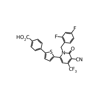 N#Cc1c(C(F)(F)F)cc(-c2ccc(-c3ccc(C(=O)O)cc3)s2)n(Cc2ccc(F)cc2F)c1=O